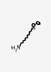 NCCCCCCCCCCCCOc1cccc(-c2ccccc2)c1